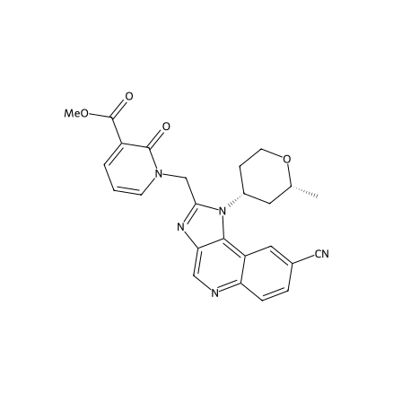 COC(=O)c1cccn(Cc2nc3cnc4ccc(C#N)cc4c3n2[C@@H]2CCO[C@H](C)C2)c1=O